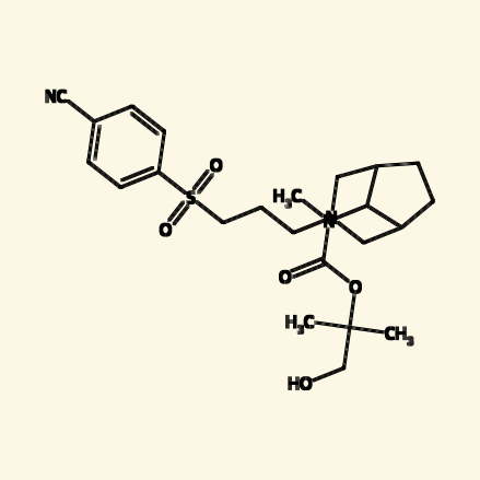 CN(C(=O)OC(C)(C)CO)C1C2CCC1CN(CCCS(=O)(=O)c1ccc(C#N)cc1)C2